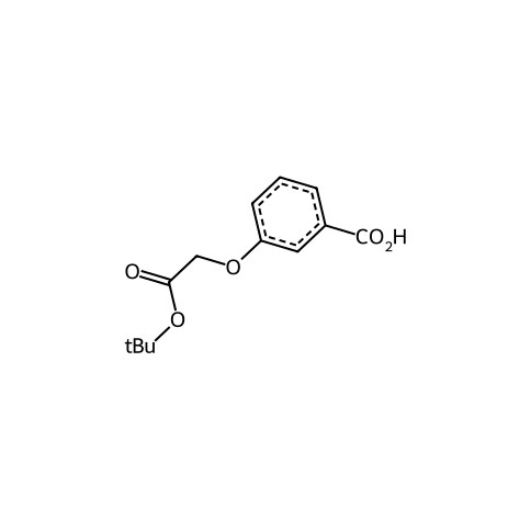 CC(C)(C)OC(=O)COc1cccc(C(=O)O)c1